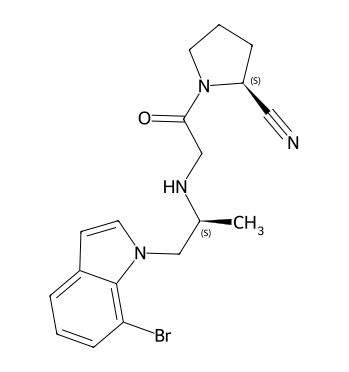 C[C@@H](Cn1ccc2cccc(Br)c21)NCC(=O)N1CCC[C@H]1C#N